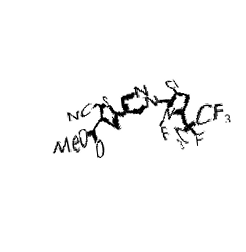 COC(=O)c1cc(-c2cnn(-c3c(Cl)cc(C(F)(C(F)(F)F)C(F)(F)F)n3C)c2)sc1C#N